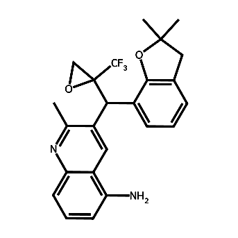 Cc1nc2cccc(N)c2cc1C(c1cccc2c1OC(C)(C)C2)C1(C(F)(F)F)CO1